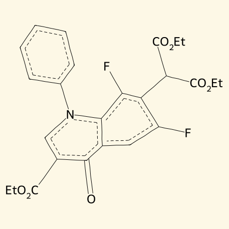 CCOC(=O)c1cn(-c2ccccc2)c2c(F)c(C(C(=O)OCC)C(=O)OCC)c(F)cc2c1=O